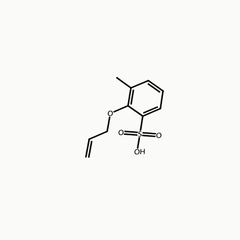 C=CCOc1c(C)cccc1S(=O)(=O)O